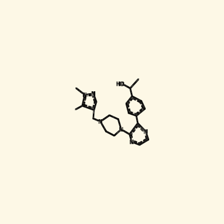 Cc1c(CN2CCN(c3nccnc3-c3ccc(C(C)O)cc3)CC2)cnn1C